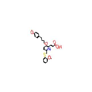 COc1ccc(CCCCOc2ccc(CSc3ccccc3OC)nc2/C=C/C(=O)O)cc1